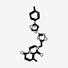 Cc1ccc([C@H]2C[C@H](c3noc(Cn4ccn5c(=O)ccc(C)c5c4=O)n3)CO2)cc1